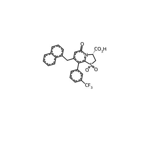 O=C(O)[C@@H]1CS(=O)(=O)c2c(-c3cccc(C(F)(F)F)c3)c(Cc3cccc4ccccc34)cc(=O)n21